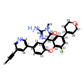 CC#Cc1cncc(-c2ccc3c(c2)[C@@]2(N=C(N)N(C)C2=O)c2cc(C4=CCOCC4)cc(F)c2O3)c1